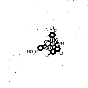 CCOc1cccc(CN2[C@H]3COc4c5ccc(C(=O)O)cc5nn4[C@H]3[C@H](c3cccc(Cl)c3F)[C@]23C(=O)Nc2cc(Cl)ccc23)c1